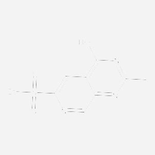 CCS(=O)(=O)c1cc2c(O)nc(C)nc2cn1